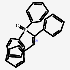 O=P(/C(=C\c1ccccc1)c1ccccc1)(c1ccccc1)c1ccccc1